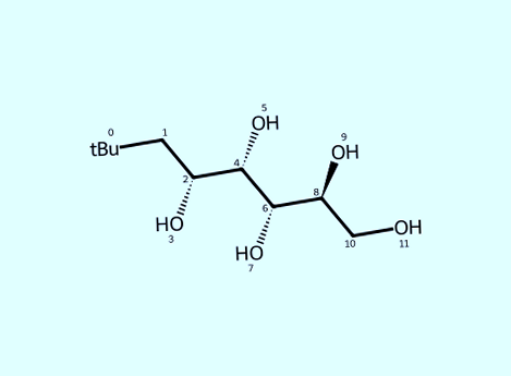 CC(C)(C)C[C@@H](O)[C@H](O)[C@@H](O)[C@@H](O)CO